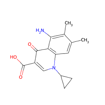 Cc1cc2c(c(N)c1C)c(=O)c(C(=O)O)cn2C1CC1